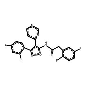 O=C(Cc1cc(F)ccc1F)Nc1onc(-c2ccc(F)cc2F)c1-c1ccncn1